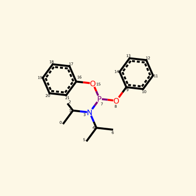 CC(C)N(C(C)C)P(Oc1ccccc1)Oc1ccccc1